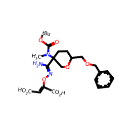 CN(C(=O)OC(C)(C)C)C1(/C(N)=N/O/C(=C\C(=O)O)C(=O)O)CCC(COCc2ccccc2)OC1